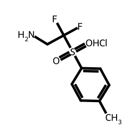 Cc1ccc(S(=O)(=O)C(F)(F)CN)cc1.Cl